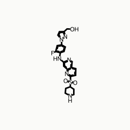 O=S(=O)(c1ccc2cnc(Nc3ccc(-n4ccc(CO)n4)cc3F)cc2n1)C1CCNCC1